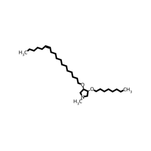 CCCCC/C=C\CCCCCCCCCCCO[C@@H]1CN(C)C[C@H]1OCCCCCCCC